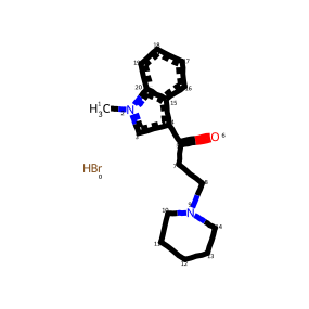 Br.Cn1cc(C(=O)CCN2CCCCC2)c2ccccc21